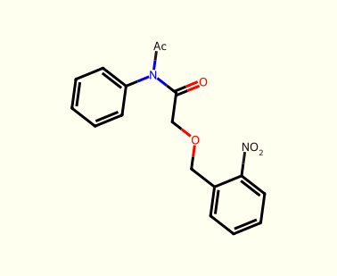 CC(=O)N(C(=O)COCc1ccccc1[N+](=O)[O-])c1ccccc1